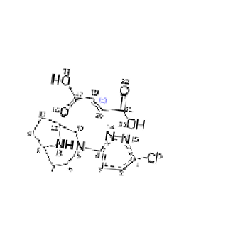 Clc1ccc(N2CCC3CCC(C2)N3)nn1.O=C(O)/C=C/C(=O)O